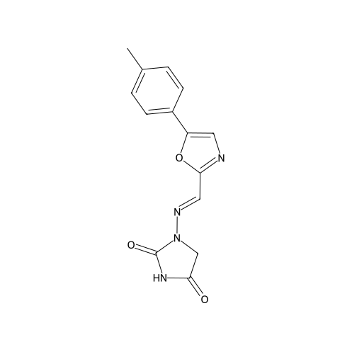 Cc1ccc(-c2cnc(C=NN3CC(=O)NC3=O)o2)cc1